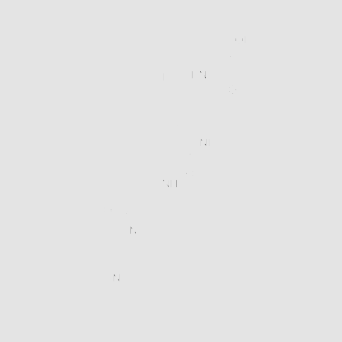 Cc1c(C=C2C(=O)Nc3cc(NC(=O)C(C)(C)O)c(F)cc32)[nH]c2c1C(=O)N(CCN1CCCC1)CC2